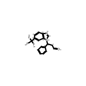 O=CCC(c1ccccc1)n1cnc2ccc(C(F)(F)F)cc21